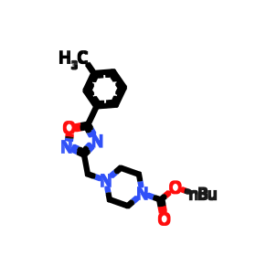 CCCCOC(=O)N1CCN(Cc2noc(-c3cccc(C)c3)n2)CC1